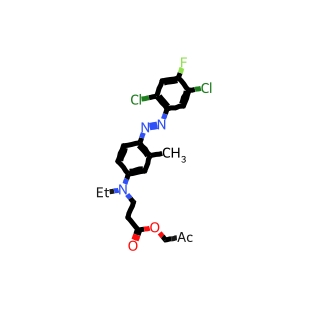 CCN(CCC(=O)OCC(C)=O)c1ccc(N=Nc2cc(Cl)c(F)cc2Cl)c(C)c1